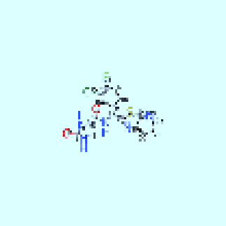 O=C1NC[C@@H](C(=O)NC(c2ccc(F)c(Cl)c2)c2nc3cccnc3s2)N1